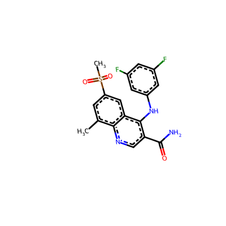 Cc1cc(S(C)(=O)=O)cc2c(Nc3cc(F)cc(F)c3)c(C(N)=O)cnc12